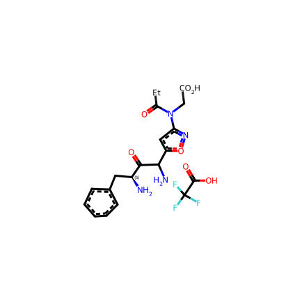 CCC(=O)N(CC(=O)O)c1cc(C(N)C(=O)[C@@H](N)Cc2ccccc2)on1.O=C(O)C(F)(F)F